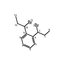 CCC(Br)c1ccccc1C(Br)CC